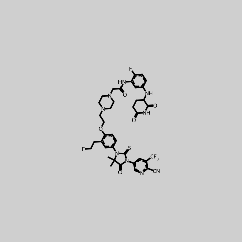 CC1(C)C(=O)N(c2cnc(C#N)c(C(F)(F)F)c2)C(=S)N1c1ccc(OCCN2CCN(CC(=O)Nc3cc(NC4CCC(=O)NC4=O)ccc3F)CC2)c(CCF)c1